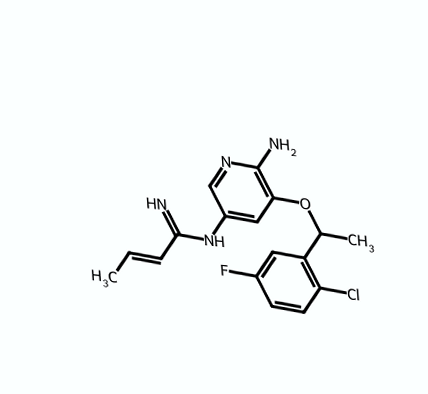 C/C=C/C(=N)Nc1cnc(N)c(OC(C)c2cc(F)ccc2Cl)c1